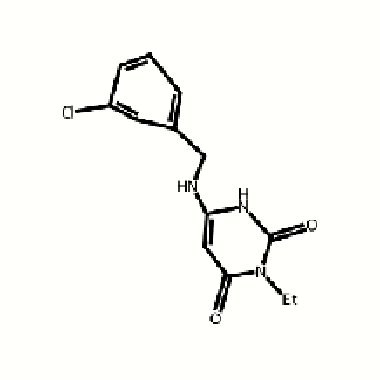 CCn1c(=O)cc(NCc2cccc(Cl)c2)[nH]c1=O